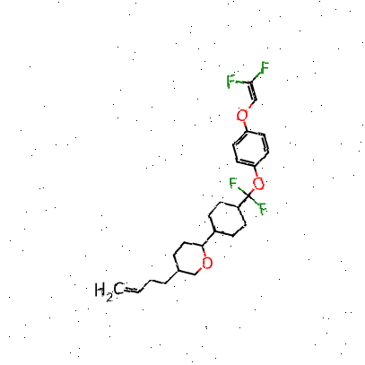 C=CCCC1CCC(C2CCC(C(F)(F)Oc3ccc(OC=C(F)F)cc3)CC2)OC1